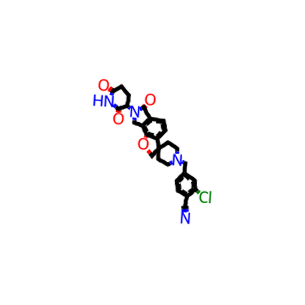 N#Cc1ccc(CN2CCC3(CC2)COc2c3ccc3c2CN(C2CCC(=O)NC2=O)C3=O)cc1Cl